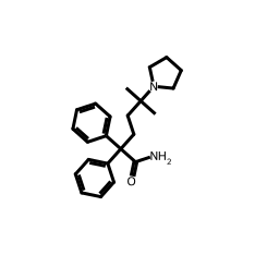 CC(C)(CCC(C(N)=O)(c1ccccc1)c1ccccc1)N1CCCC1